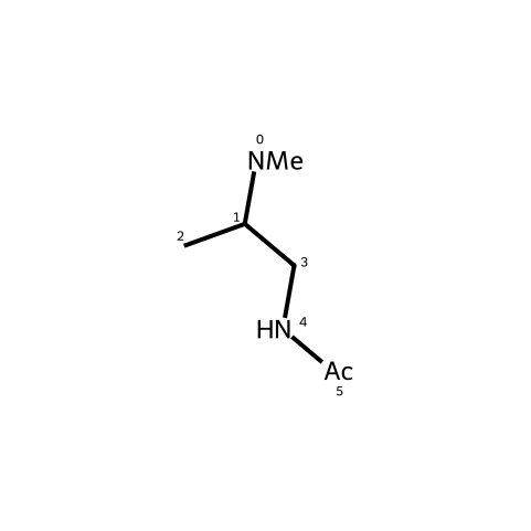 CNC(C)CNC(C)=O